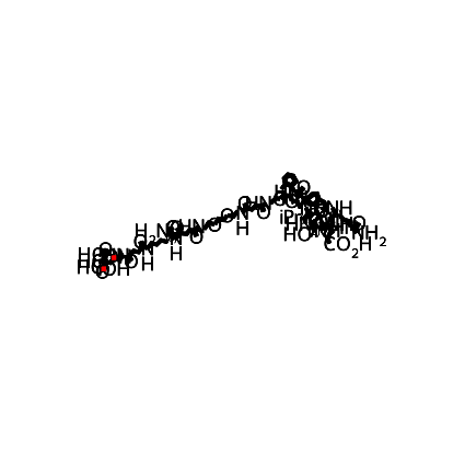 Cc1ccccc1NC(=O)Nc1ccc(CC(=O)N[C@@H](CCCNC(N)=O)C(=O)N[C@@H](CCC(=O)O)C(=O)N[C@@H](CO)C(=O)N[C@H](C(=O)NCCOCCOCCNC(=O)CCC(=O)NCCOCCOCCNC(=O)CCC(=O)N[C@@H](CCCCNC(=O)CCC(=O)NCCCC(O)(P(=O)(O)O)P(=O)(O)O)C(N)=O)C(C)C)cc1